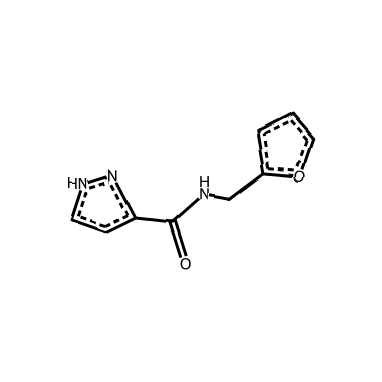 O=C(NCc1ccco1)c1cc[nH]n1